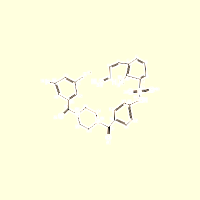 C=C/C=C\c1cccc(S(=O)(=O)Nc2ccc(C(=O)N3CCN(C(=O)c4cc(F)cc(F)c4)CC3)cc2)c1N